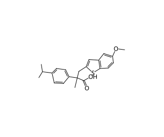 COc1ccc2sc(CC(C)(C(=O)O)c3ccc(C(C)C)cc3)cc2c1